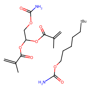 C=C(C)C(=O)OC(COC(N)=O)OC(=O)C(=C)C.CC(C)(C)CCCCCOC(N)=O